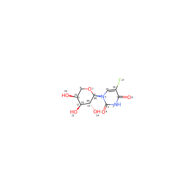 O=c1[nH]c(=O)n([C@@H]2OC[C@H](O)[C@H](O)[C@H]2O)cc1F